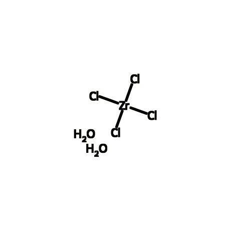 O.O.[Cl][Zr]([Cl])([Cl])[Cl]